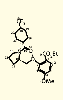 CCOC(=O)c1ncc(OC)cc1OC[C@H]1CCCN1C(=O)[C@H]1CC[C@H](C(F)(F)F)CC1